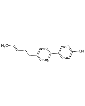 C/C=C/CCc1ccc(-c2ccc(C#N)cc2)nc1